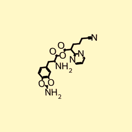 N#CCCCC(C(=O)OC(=O)C(N)Cc1ccc2c(c1)OC(N)O2)c1ncccn1